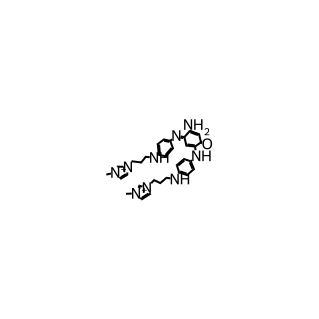 C[n+]1ccn(CCCNc2ccc(/N=C3\C=C(Nc4ccc(NCCCn5cc[n+](C)c5)cc4)C(=O)C=C3N)cc2)c1